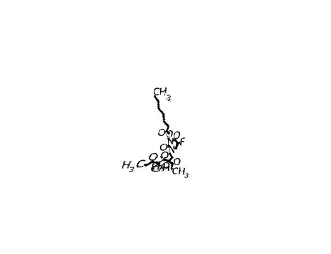 CCCCCCCC(=O)OCn1c(=O)c(F)cn([C@H]2C[C@@](O)(C(=O)CC)[C@@H](C(O)C(=O)CC)O2)c1=O